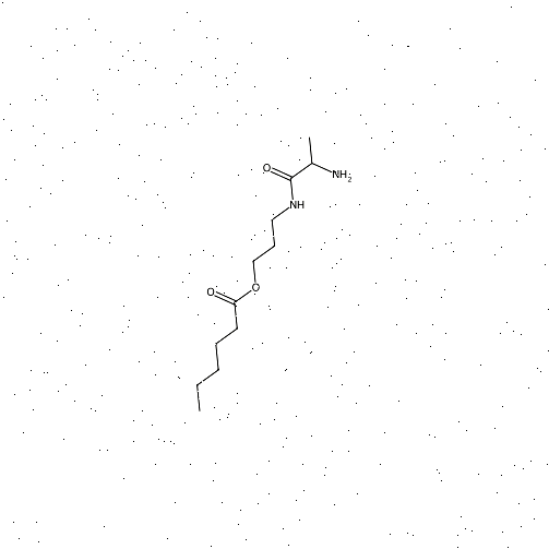 CCCCCC(=O)OCCCNC(=O)C(C)N